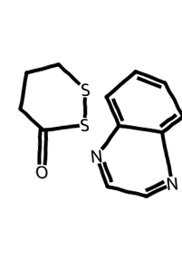 O=C1CCCSS1.c1ccc2nccnc2c1